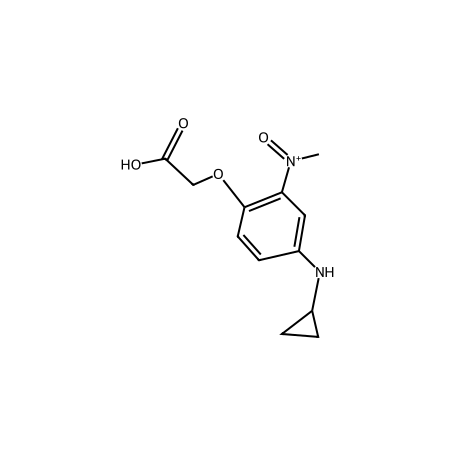 C[N+](=O)c1cc(NC2CC2)ccc1OCC(=O)O